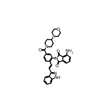 Nc1cccc2c1C(=O)N(c1cc(C(=O)N3CCC(N4CCOCC4)CC3)ccc1C=Cc1n[nH]c3ccccc13)C2=O